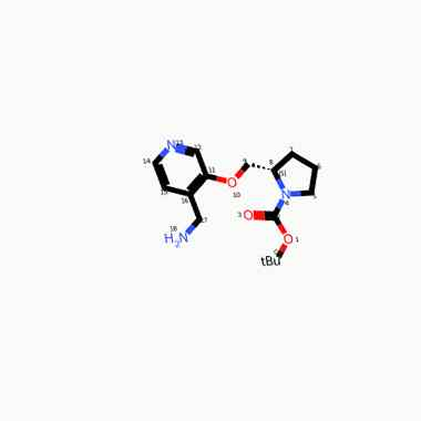 CC(C)(C)OC(=O)N1CCC[C@H]1COc1cnccc1CN